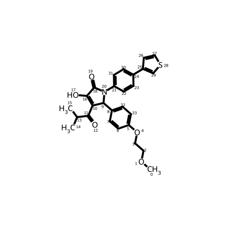 COCCOc1ccc(C2C(C(=O)C(C)C)=C(O)C(=O)N2c2ccc(-c3ccsc3)cc2)cc1